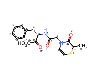 CC1SC=CN(CC(=O)N[C@@H](Cc2ccccc2)C(=O)C(=O)O)C1=O